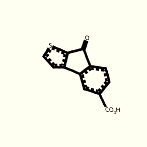 O=C(O)c1ccc2c(c1)-c1ccsc1C2=O